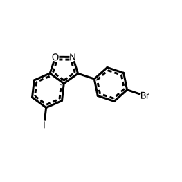 Brc1ccc(-c2noc3ccc(I)cc23)cc1